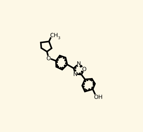 CC1CCC(Oc2ccc(-c3noc(-c4ccc(O)cc4)n3)cc2)C1